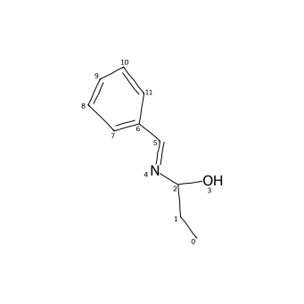 CCC(O)N=Cc1ccccc1